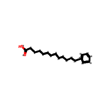 O=C(O)CCCCCCCCCCCCc1ccccc1